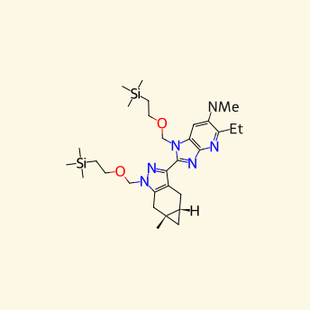 CCc1nc2nc(-c3nn(COCC[Si](C)(C)C)c4c3C[C@@H]3C[C@]3(C)C4)n(COCC[Si](C)(C)C)c2cc1NC